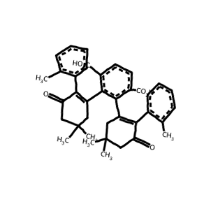 Cc1ccccc1C1=C(c2c(C(=O)O)ccc(C(=O)O)c2C2=C(c3ccccc3C)C(=O)CC(C)(C)C2)CC(C)(C)CC1=O